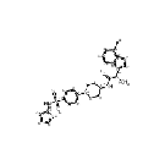 C[C@H](C(=O)NC1CCN(c2ccc(S(=O)(=O)Nc3nccs3)cc2)CC1)n1ccc2c(F)cccc21